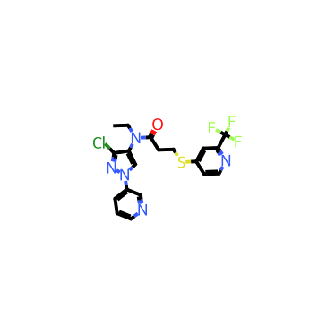 CCN(C(=O)CCSc1ccnc(C(F)(F)F)c1)c1cn(-c2cccnc2)nc1Cl